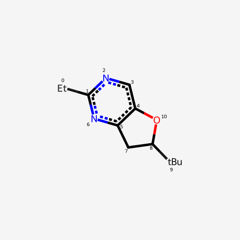 CCc1ncc2c(n1)CC(C(C)(C)C)O2